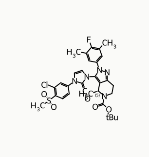 Cc1cc(-n2nc3c(c2N2C=CN(c4ccc(S(C)(=O)=O)c(Cl)c4)C2=C=O)[C@H](C)N(C(=O)OC(C)(C)C)CC3)cc(C)c1F